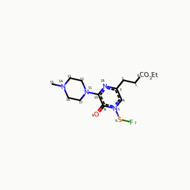 CCOC(=O)CCc1cn(SF)c(=O)c(N2CCN(C)CC2)n1